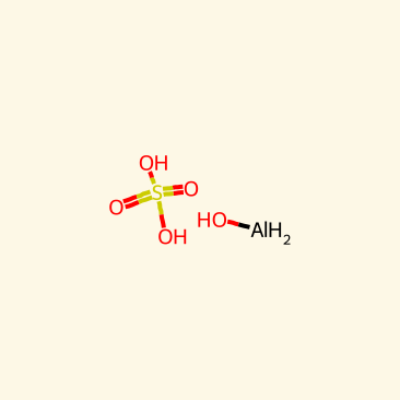 O=S(=O)(O)O.[OH][AlH2]